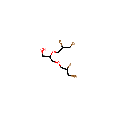 OCC(COCC(Br)CBr)OCC(Br)CBr